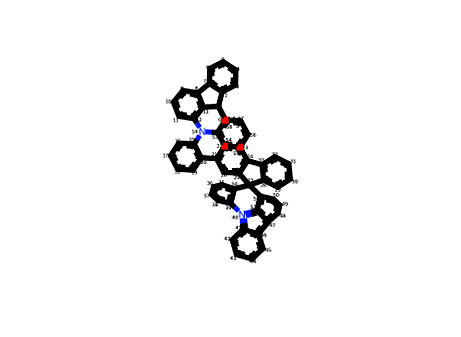 CC12c3ccccc3-c3cccc(c31)N(c1ccccc1-c1ccc3c(c1)C1(c4ccccc4-3)c3ccccc3-n3c4ccccc4c4cccc1c43)c1ccccc12